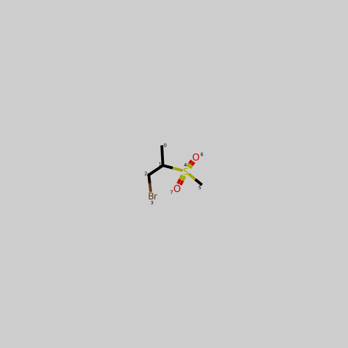 CC(CBr)S(C)(=O)=O